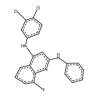 Fc1cccc2c(Nc3ccc(Cl)c(Cl)c3)cc(Nc3ccccc3)nc12